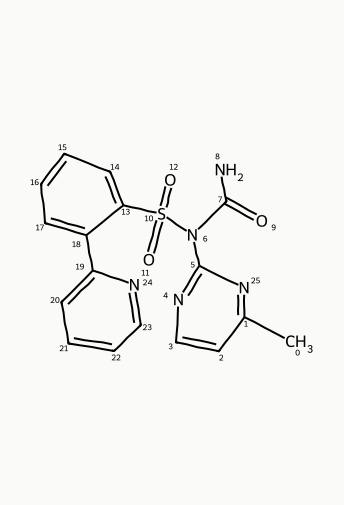 Cc1ccnc(N(C(N)=O)S(=O)(=O)c2ccccc2-c2ccccn2)n1